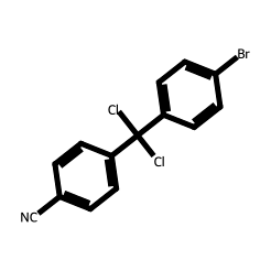 N#Cc1ccc(C(Cl)(Cl)c2ccc(Br)cc2)cc1